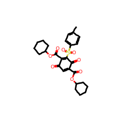 Cc1ccc(S(=O)(=O)C2=C(C(=O)OC3CCCCC3)C(=O)C=C(C(=O)OC3CCCCC3)C2=O)cc1